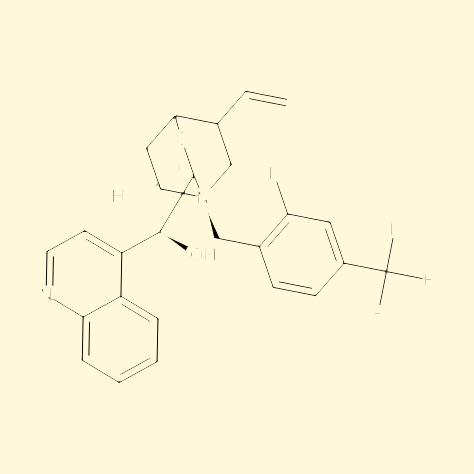 C=CC1C[N@+]2(Cc3ccc(C(F)(F)F)cc3F)CCC1C[C@@H]2[C@@H](O)c1ccnc2ccccc12